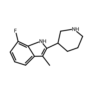 Cc1c(C2CCCNC2)[nH]c2c(F)cccc12